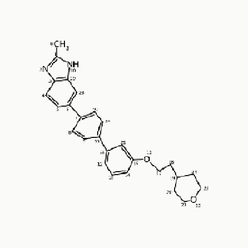 Cc1nc2ccc(-c3ccc(-c4cccc(OCCC5CCOCC5)c4)cc3)cc2[nH]1